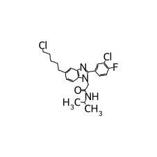 CC(C)NC(=O)Cn1c(-c2ccc(F)c(Cl)c2)nc2cc(CCCCCCl)ccc21